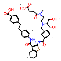 CN(CCN(Cc1cccc(C(=O)Nc2sc3c(c2C(=O)Nc2ccc(CCc4ccc(C(=O)O)cc4)cc2)CCCC3)c1)C(CO)CO)C(=O)CCC(=O)O